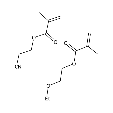 C=C(C)C(=O)OCCC#N.C=C(C)C(=O)OCCOCC